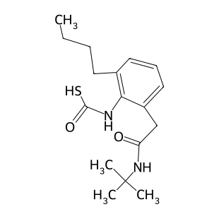 CCCCc1cccc(CC(=O)NC(C)(C)C)c1NC(=O)S